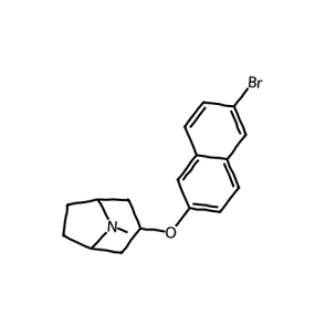 CN1C2CCC1CC(Oc1ccc3cc(Br)ccc3c1)C2